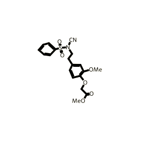 COC(=O)COc1ccc(CCN(C#N)S(=O)(=O)c2ccccc2)cc1OC